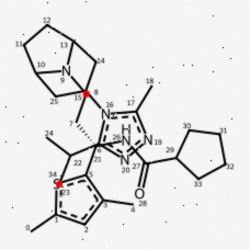 Cc1cc(C)c([C@H](CCN2C3CCC2CC(n2c(C)nnc2C(C)C)C3)NC(=O)C2CCCC2)s1